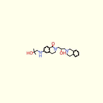 CC(C)(O)CNc1ccc2c(c1)CCN(C[C@H](O)CN1CCc3ccccc3C1)C2=O